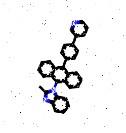 Cc1nc2ccccc2n1-c1c2ccccc2c(-c2ccc(-c3cccnc3)cc2)c2ccccc12